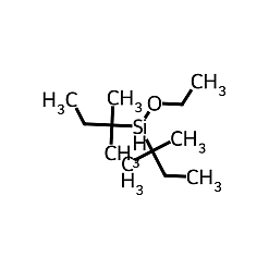 CCO[SiH](C(C)(C)CC)C(C)(C)CC